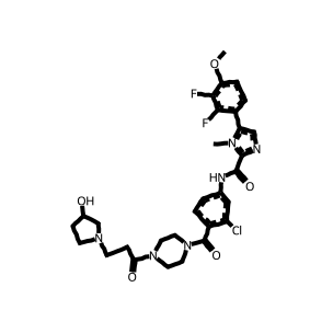 COc1ccc(-c2cnc(C(=O)Nc3ccc(C(=O)N4CCN(C(=O)CCN5CCC(O)C5)CC4)c(Cl)c3)n2C)c(F)c1F